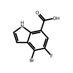 O=C(O)c1cc(F)c(Br)c2cc[nH]c12